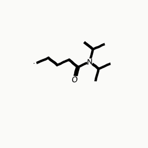 [CH2]CCCC(=O)N(C(C)C)C(C)C